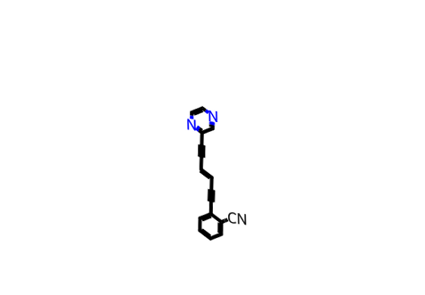 N#Cc1ccccc1C#CC=CC#Cc1cnccn1